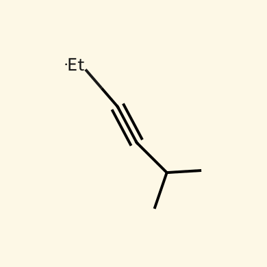 C[CH]C#CC(C)C